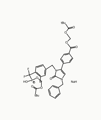 CC(C)(C)C(=O)OCOC(=O)c1ccc(-c2cn(Cc3ccccc3)c(=O)n2Cc2ccc(C(F)(F)P(=O)(O)OCOC(=O)C(C)(C)C)c(Br)c2)cc1.[NaH]